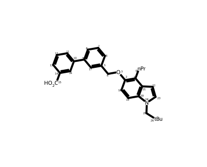 CCCc1c(OCc2cccc(-c3cccc(C(=O)O)c3)c2)ccc2c1ccn2CC(C)(C)C